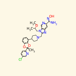 COC(C)Cn1c(CN2CCC(c3cccc4c3O[C@](C)(c3ccc(Cl)cn3)O4)CC2)nc2cc(C(N)=NO)ncc21